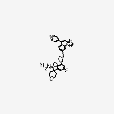 NC(=O)C1(c2cc(F)cc(OCc3ccc4c(-c5ccncc5)cc5nccn5c4c3)c2)CCOCC1